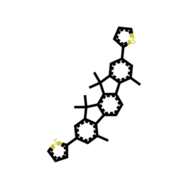 Cc1cc(-c2cccs2)cc2c1-c1ccc3c(c1C2(C)C)C(C)(C)c1cc(-c2cccs2)cc(C)c1-3